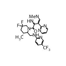 CN/C=C(\C(=N)C(=O)N1CC(F)(F)C[C@@H](C)C1CNc1ccc(C(F)(F)F)cn1)c1ncccn1